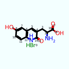 Br.NC(Cc1cc2cc(O)ccc2[nH]c1=O)C(=O)O